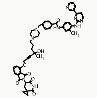 Cc1cc(NC(=O)c2ccc(CN3CCN(CCCC(C)(O)C#CCOc4cccc5c4C(=O)N(C4CC6(CC6)C(=O)NC4=O)C5=O)CC3)cc2)ccc1Nc1nccc(-c2cccnc2)n1